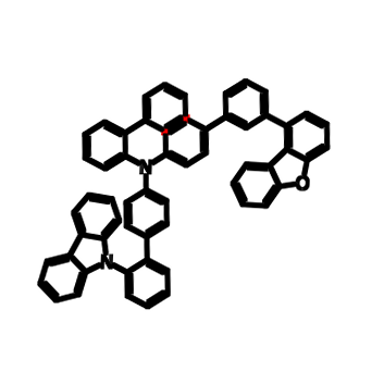 c1ccc(-c2ccccc2N(c2ccc(-c3cccc(-c4cccc5oc6ccccc6c45)c3)cc2)c2ccc(-c3ccccc3-n3c4ccccc4c4ccccc43)cc2)cc1